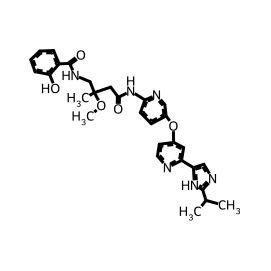 COC(C)(CNC(=O)c1ccccc1O)CC(=O)Nc1ccc(Oc2ccnc(-c3cnc(C(C)C)[nH]3)c2)cn1